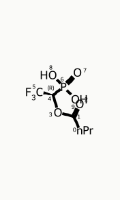 CCCC(=O)O[C@@H](C(F)(F)F)P(=O)(O)O